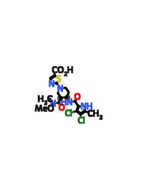 CON(C)C(=O)[C@H]1CN(c2ncc(C(=O)O)s2)CC[C@H]1NC(=O)c1[nH]c(C)c(Cl)c1Cl